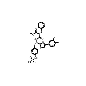 COC(=O)[C@@H](Cc1ccccc1)C(=O)N[C@@H](Cc1ccc(NS(=O)(=O)O)cc1)c1nc(-c2ccc(C)c(C)c2)cs1